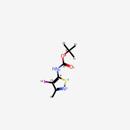 Cc1nsc(NC(=O)OC(C)(C)C)c1I